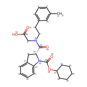 Cc1cccc(CCN(CC(=O)O)C(=O)[C@H]2Cc3ccccc3N2C(=O)OC2CCCCC2)c1